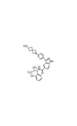 CC(C)C(NC(=O)c1ccc2[nH]nc(-c3ccc(N4CC5(CC(O)C5)C4)cc3)c2c1)c1ccccc1Cl